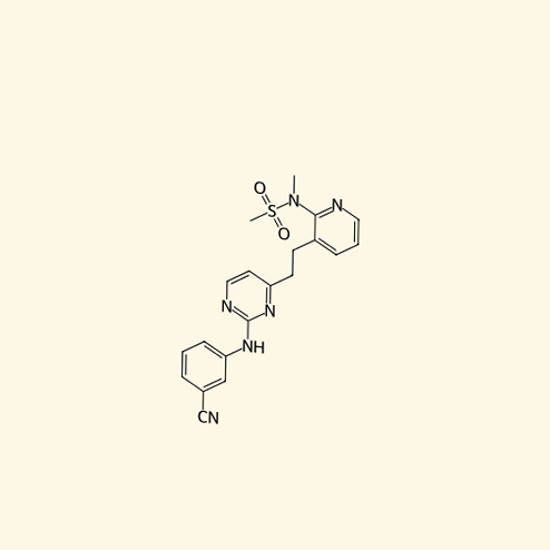 CN(c1ncccc1CCc1ccnc(Nc2cccc(C#N)c2)n1)S(C)(=O)=O